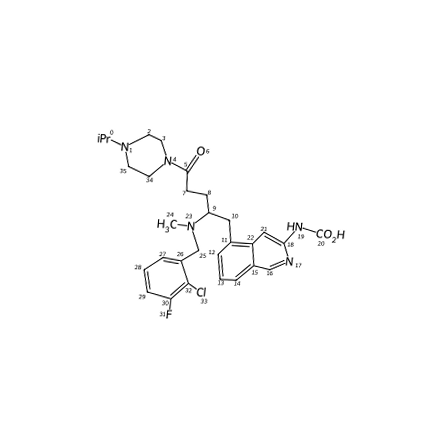 CC(C)N1CCN(C(=O)CCC(Cc2cccc3cnc(NC(=O)O)cc23)N(C)Cc2cccc(F)c2Cl)CC1